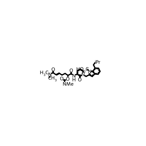 CNC(=O)OC(CC/C=C/C(=O)N(C)C)C(=O)Nc1cccn(Cc2cc3cccc(CC(C)C)c3n2C(=O)O)c1=O